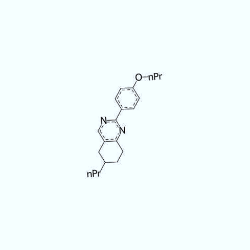 CCCOc1ccc(-c2ncc3c(n2)CCC(CCC)C3)cc1